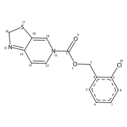 O=C(OCc1ccccc1Cl)N1C=CC2=NCSC2=C1